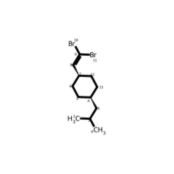 CC(C)C[C@H]1CC[C@@H](C=C(Br)Br)CC1